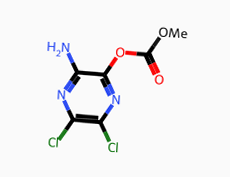 COC(=O)Oc1nc(Cl)c(Cl)nc1N